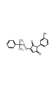 CC(C)c1cccc(N2C(=O)C=C(OOC(C)(C)c3ccccc3)C2=O)c1